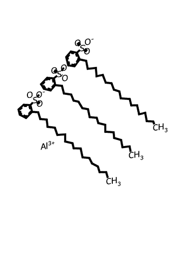 CCCCCCCCCCCCCCCCCCc1ccccc1S(=O)(=O)[O-].CCCCCCCCCCCCCCCCCCc1ccccc1S(=O)(=O)[O-].CCCCCCCCCCCCCCCCCCc1ccccc1S(=O)(=O)[O-].[Al+3]